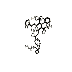 NCC1(CN2CCN(C(=O)CC3=C(C(=O)O)C(c4c(Cl)cccc4Cl)C(C(=O)O)=C(CCc4nccs4)N3)CC2)CCC1